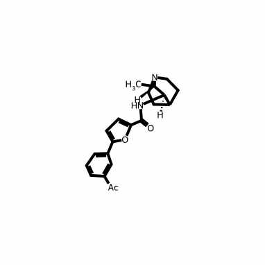 CC(=O)c1cccc(-c2ccc(C(=O)N[C@@H]3C4CCN(CC4)[C@H]3C)o2)c1